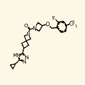 O=C(N1CC(OCc2ccc(C(F)(F)F)cc2F)C1)N1CC2(CC(c3nnc(C4CC4)[nH]3)C2)C1